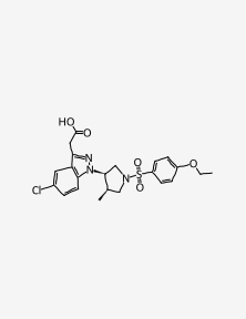 CCOc1ccc(S(=O)(=O)N2C[C@@H](C)[C@@H](n3nc(CC(=O)O)c4cc(Cl)ccc43)C2)cc1